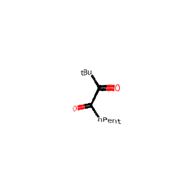 CCCCCC(=O)C(=O)C(C)(C)C